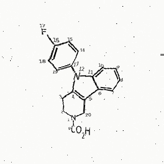 O=C(O)N1CCc2c(c3ccccc3n2-c2ccc(F)cc2)C1